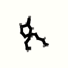 CC(C)OCC[N+]1(CCO)CCOC(=O)C1